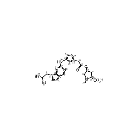 CCC(Cn1ccc2cnc(Nc3cnn(CC(=O)OC4C[C@@H](C(=O)O)N(C)C4)c3)nc21)C(C)C